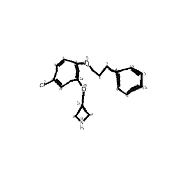 Clc1ccc(OCCc2ccccc2)c(OC2CNC2)c1